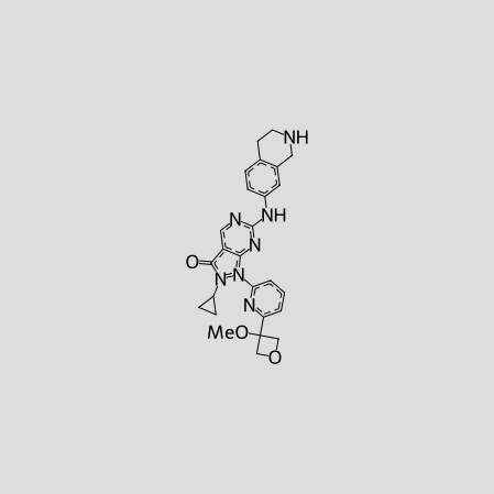 COC1(c2cccc(-n3c4nc(Nc5ccc6c(c5)CNCC6)ncc4c(=O)n3C3CC3)n2)COC1